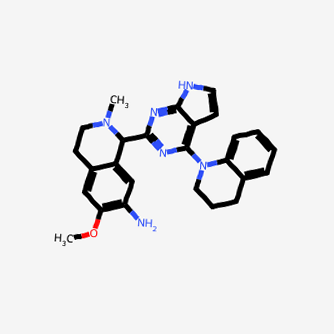 COc1cc2c(cc1N)C(c1nc(N3CCCc4ccccc43)c3cc[nH]c3n1)N(C)CC2